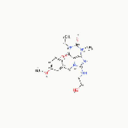 CCn1c(=O)c2c(nc(NCCO)n2Cc2cccc(OC)c2)n(C)c1=O